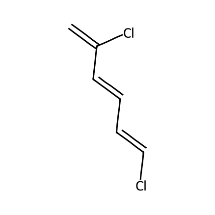 C=C(Cl)C=CC=CCl